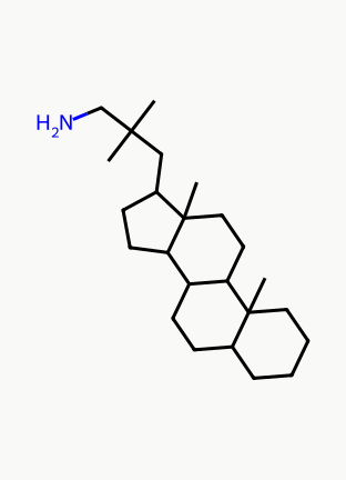 CC(C)(CN)CC1CCC2C3CCC4CCCCC4(C)C3CCC12C